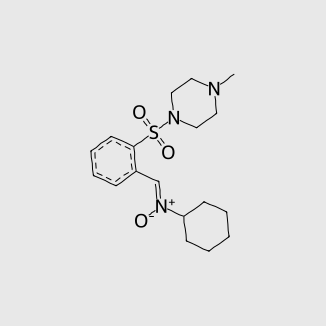 CN1CCN(S(=O)(=O)c2ccccc2/C=[N+](\[O-])C2CCCCC2)CC1